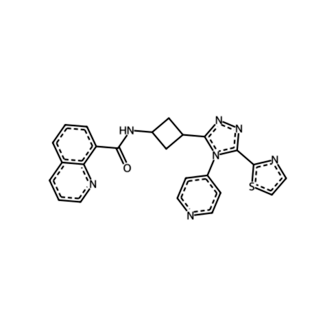 O=C(NC1CC(c2nnc(-c3nccs3)n2-c2ccncc2)C1)c1cccc2cccnc12